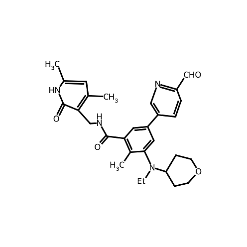 CCN(c1cc(-c2ccc(C=O)nc2)cc(C(=O)NCc2c(C)cc(C)[nH]c2=O)c1C)C1CCOCC1